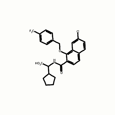 O=C(NC(C(=O)O)C1CCCC1)c1ccc2ccc(Cl)cc2c1OCc1ccc(C(F)(F)F)cc1